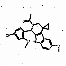 COc1ccc2[nH]c3c(c2c1)C1(CC1)CN(C(C)=O)C3c1ccc(Cl)cc1OC